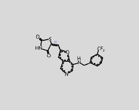 O=C1NC(=O)/C(=C\c2cc3cncc(NCc4cccc(C(F)(F)F)c4)c3o2)S1